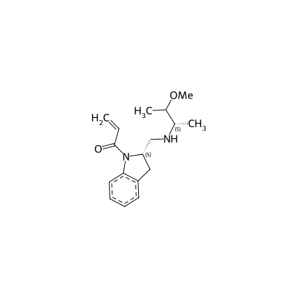 C=CC(=O)N1c2ccccc2C[C@H]1CN[C@@H](C)C(C)OC